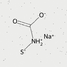 O=C([O-])[NH2+][S-].[Na+]